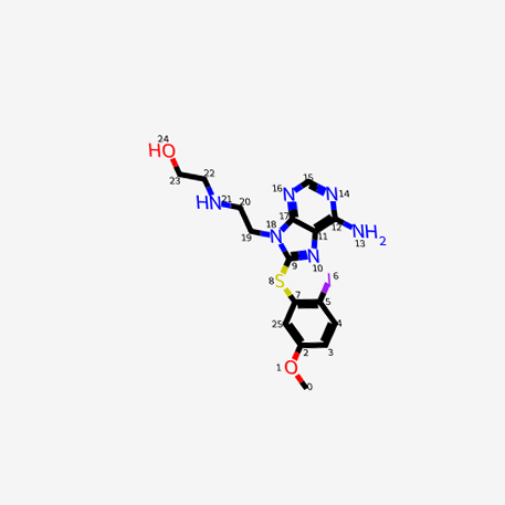 COc1ccc(I)c(Sc2nc3c(N)ncnc3n2CCNCCO)c1